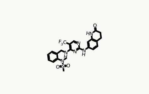 CN(c1ccccc1CNc1nc(Nc2ccc3c(c2)NC(=O)CC3)ncc1C(F)(F)F)S(C)(=O)=O